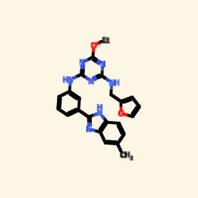 CCOc1nc(NCc2ccco2)nc(Nc2cccc(-c3nc4cc(C)ccc4[nH]3)c2)n1